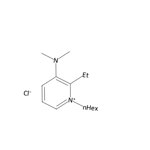 CCCCCC[n+]1cccc(N(C)C)c1CC.[Cl-]